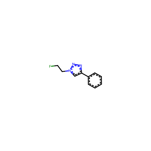 FCCn1cc(-c2ccccc2)nn1